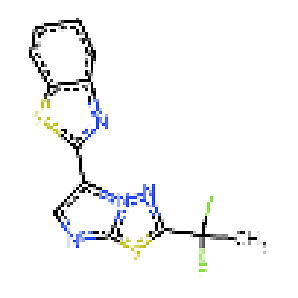 CC(F)(F)c1nn2c(-c3nc4ccccc4s3)cnc2s1